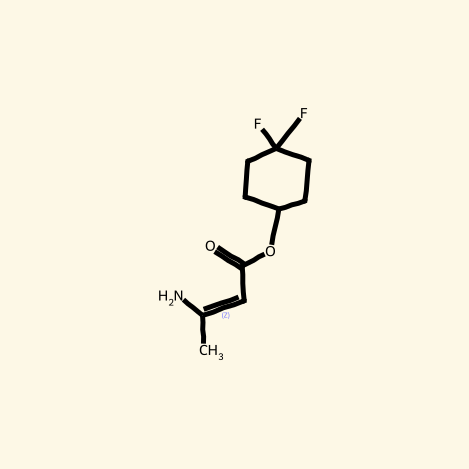 C/C(N)=C/C(=O)OC1CCC(F)(F)CC1